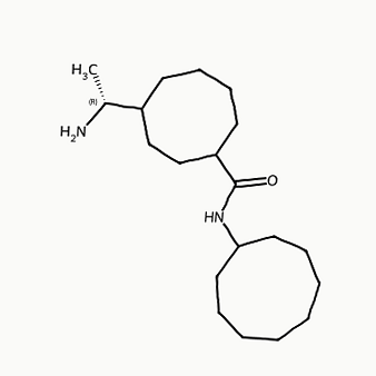 C[C@@H](N)C1CCCCC(C(=O)NC2CCCCCCCC2)CC1